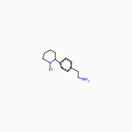 CCN1CCCCC1c1ccc(CCN)cc1